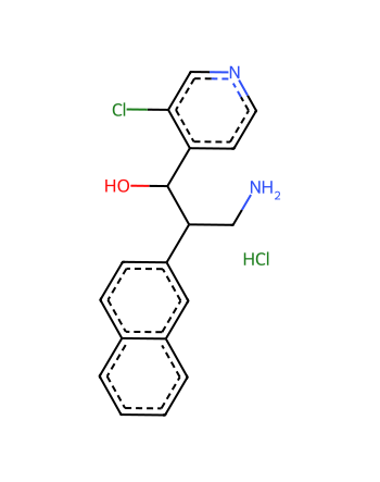 Cl.NCC(c1ccc2ccccc2c1)C(O)c1ccncc1Cl